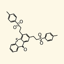 Cc1ccc(S(=O)(=O)CCc2cc(CCS(=O)(=O)c3ccc(C)cc3)c3sc4ccccc4c(=O)c3c2)cc1